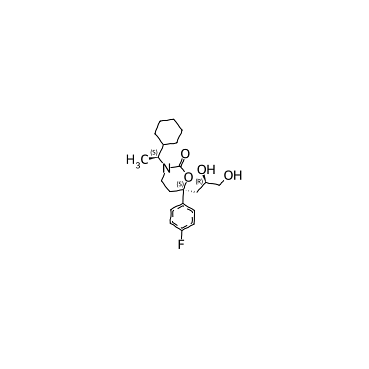 C[C@@H](C1CCCCC1)N1CC[C@](C[C@@H](O)CO)(c2ccc(F)cc2)OC1=O